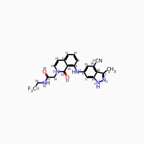 Cc1n[nH]c2cc(Nc3cccc4ccn(CC(=O)NCC(F)(F)F)c(=O)c34)cc(C#N)c12